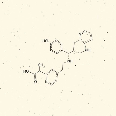 CC(C(=O)O)c1cc(CCN[C@H](c2ccccc2)[C@H]2CNc3cccnc3C2)ccn1.Cl